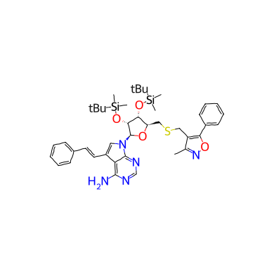 Cc1noc(-c2ccccc2)c1CSC[C@H]1O[C@@H](n2cc(/C=C/c3ccccc3)c3c(N)ncnc32)[C@H](O[Si](C)(C)C(C)(C)C)[C@@H]1O[Si](C)(C)C(C)(C)C